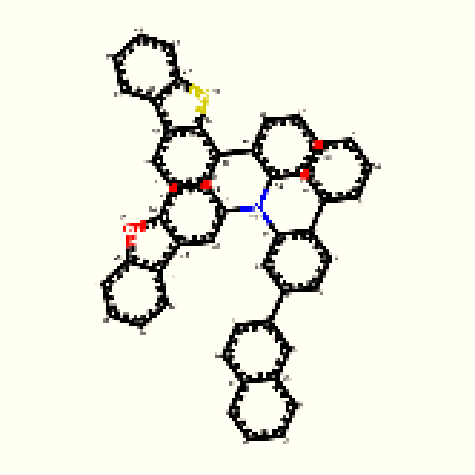 c1ccc(-c2ccc(-c3ccc4ccccc4c3)cc2N(c2ccc3oc4ccccc4c3c2)c2ccccc2-c2cccc3c2sc2ccccc23)cc1